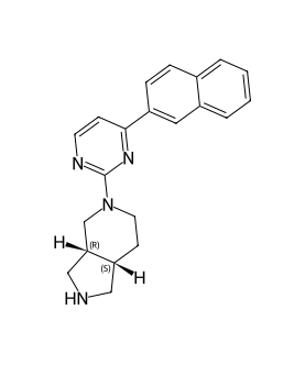 c1ccc2cc(-c3ccnc(N4CC[C@@H]5CNC[C@@H]5C4)n3)ccc2c1